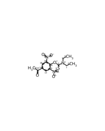 CCN(CC)C(=S)Oc1c([N+](=O)[O-])cc(C(C)=O)cc1[N+](=O)[O-]